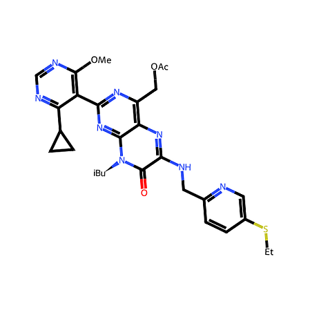 CCSc1ccc(CNc2nc3c(COC(C)=O)nc(-c4c(OC)ncnc4C4CC4)nc3n([C@H](C)CC)c2=O)nc1